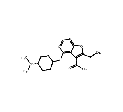 CCc1sc2ncnc(OC3CCC(N(C)C)CC3)c2c1C(=O)O